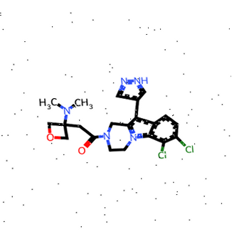 CN(C)C1(CC(=O)N2CCn3c(c(-c4cn[nH]c4)c4ccc(Cl)c(Cl)c43)C2)COC1